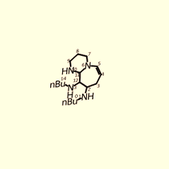 CCCCNC1CC=CN2CCCNC2C1NCCCC